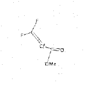 CO[C](=O)[Cf]=[C](F)F